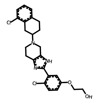 OCCOc1ccc(Cl)c(-c2nc3c([nH]2)CN(C2CCc4cccc(Cl)c4C2)CC3)c1